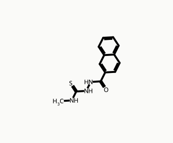 CNC(=S)NNC(=O)c1ccc2ccccc2c1